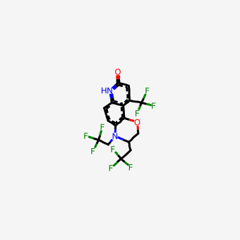 O=c1cc(C(F)(F)F)c2c3c(ccc2[nH]1)N(CC(F)(F)F)C(CC(F)(F)F)CO3